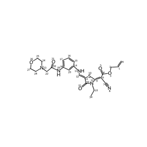 C=CCOC(=O)C(C#N)=c1sc(=CNc2cccc(NC(=O)CN3CCOCC3)c2)c(=O)n1CC